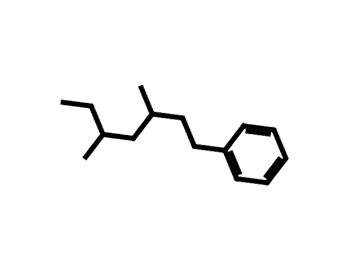 CCC(C)CC(C)CCc1[c]cccc1